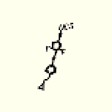 Fc1cc(C#CN=C=S)cc(F)c1C#Cc1ccc(CCC2CC2)cc1